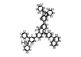 CC1(C)C2C=C(C3=CC(C4=CC=CCC4)C(NC4CC=CCC4)C=C3)C=CC2N(C2=CC=C(C3=CC=CC4C=CC=CC34)CC2)C2C=CC(C3C=c4c5c(n(C6=CC=CCC6)c4=CC3)C=CCC5)=CC21